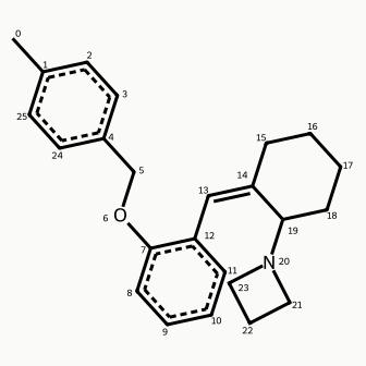 Cc1ccc(COc2ccccc2/C=C2/CCCCC2N2CCC2)cc1